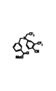 COC(=O)c1cccc(CN(CC(F)(F)F)c2ccc(C#N)c(C(F)(F)F)c2)c1